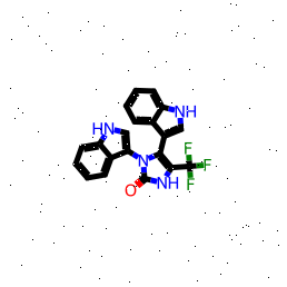 O=c1[nH]c(C(F)(F)F)c(-c2c[nH]c3ccccc23)n1-c1c[nH]c2ccccc12